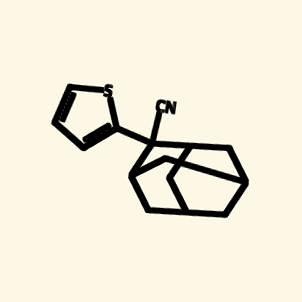 N#CC1(c2cccs2)C2CC3CC(C2)CC1C3